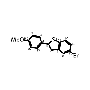 COc1ccc(C2Cc3cc(Br)ccc3S2)cc1